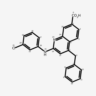 O=C(O)c1ccc2c(Cc3ccccc3)cc(Nc3cccc(Cl)c3)nc2c1